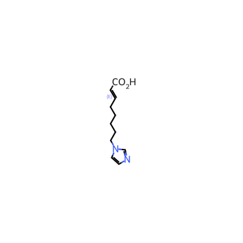 O=C(O)/C=C/CCCCCn1ccnc1